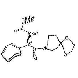 COC(=O)N[C@@H](C(=O)N1CCC2(C1)OCCO2)c1ccccc1